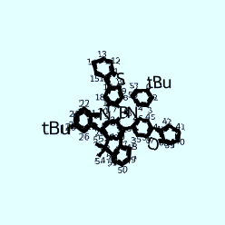 CC(C)(C)c1ccc(N2B3c4cc5sc6ccccc6c5cc4-n4c5ccc(C(C)(C)C)cc5c5c6c(c(c3c54)-c3cc4oc5ccccc5c4cc32)-c2ccccc2C6(C)C)cc1